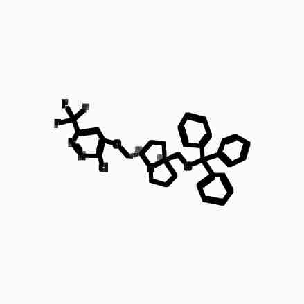 FC(F)(F)c1cc(OC[C@@H]2CC[C@]3(COC(c4ccccc4)(c4ccccc4)c4ccccc4)CCCN23)c(Cl)nn1